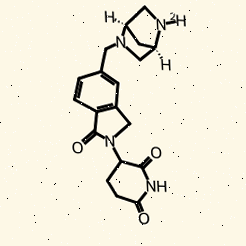 [2H]N1C[C@H]2C[C@@H]1CN2Cc1ccc2c(c1)CN(C1CCC(=O)NC1=O)C2=O